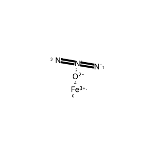 [Fe+3].[N-]=[N+]=[N-].[O-2]